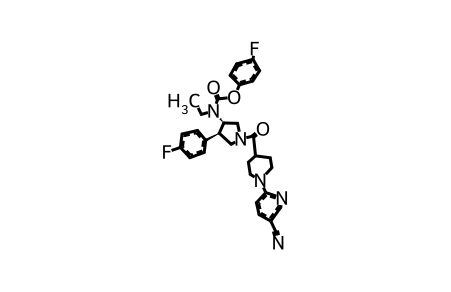 CCN(C(=O)Oc1ccc(F)cc1)[C@@H]1CN(C(=O)C2CCN(c3ccc(C#N)cn3)CC2)C[C@H]1c1ccc(F)cc1